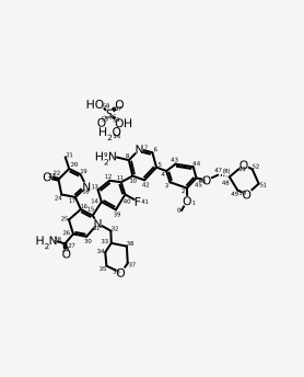 COc1cc(-c2cnc(N)c(-c3ccc(C4=C(C5=NC=C(C)C(=O)C5)CC(C(N)=O)=CN4CC4CCOCC4)cc3F)c2)ccc1OC[C@H]1COCCO1.O.O=S(=O)(O)O